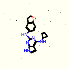 c1cc2c(NC3CCC3)nc(Nc3ccc4c(c3)CCO4)nc2[nH]1